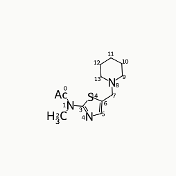 CC(=O)N(C)c1ncc(CN2CCCCC2)s1